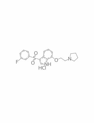 Cl.O=S(=O)(c1cccc(F)c1)c1c[nH]c2c(OCCN3CCCC3)cccc12